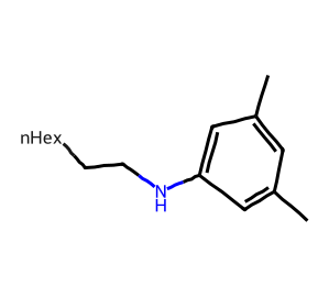 CCCCCCCCNc1cc(C)cc(C)c1